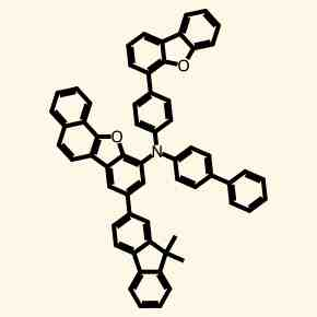 CC1(C)c2ccccc2-c2ccc(-c3cc(N(c4ccc(-c5ccccc5)cc4)c4ccc(-c5cccc6c5oc5ccccc56)cc4)c4oc5c6ccccc6ccc5c4c3)cc21